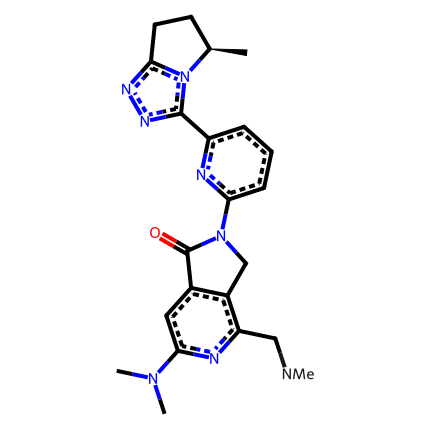 CNCc1nc(N(C)C)cc2c1CN(c1cccc(-c3nnc4n3[C@H](C)CC4)n1)C2=O